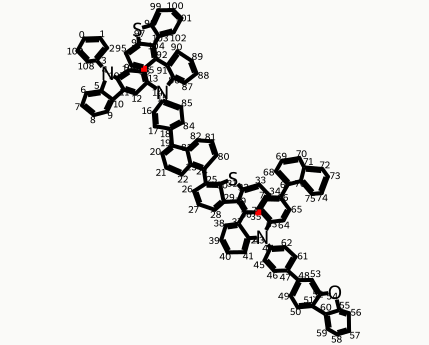 c1ccc(-n2c3ccccc3c3cc(N(c4ccc(-c5cccc6c(-c7cccc8c7sc7cccc(-c9ccccc9N(c9ccc(-c%10ccc%11c(c%10)oc%10ccccc%10%11)cc9)c9ccc(-c%10cccc%11ccccc%10%11)cc9)c78)cccc56)cc4)c4ccccc4-c4cccc5sc6ccccc6c45)ccc32)cc1